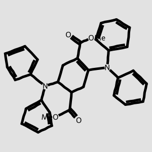 COC(=O)C1=C(N(c2ccccc2)c2ccccc2)CC(C(=O)OC)C(N(c2ccccc2)c2ccccc2)C1